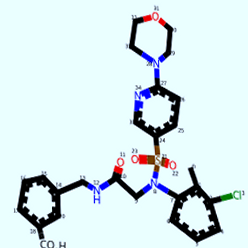 Cc1c(Cl)cccc1N(CC(=O)NCc1cccc(C(=O)O)c1)S(=O)(=O)c1ccc(N2CCOCC2)nc1